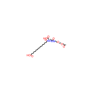 CC(=O)COCCOCCNC(=O)CC[C@H](NC(=O)CCCCCCCCCCCCCCC(=O)O)C(=O)O